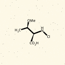 CO[C@H](C)[C@@H](NCl)C(=O)O